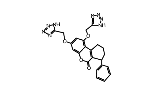 O=c1oc2cc(OCc3nnn[nH]3)cc(OCc3nnn[nH]3)c2c2c1C(c1ccccc1)CCC2